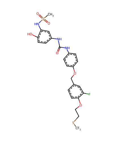 CS(=O)(=O)Nc1cc(NC(=O)Nc2ccc(OCc3ccc(OCCSC(F)(F)F)c(F)c3)cc2)ccc1O